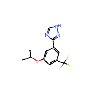 CC(C)Oc1cc(-c2nc[nH]n2)cc(C(F)(F)F)c1